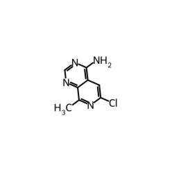 Cc1nc(Cl)cc2c(N)ncnc12